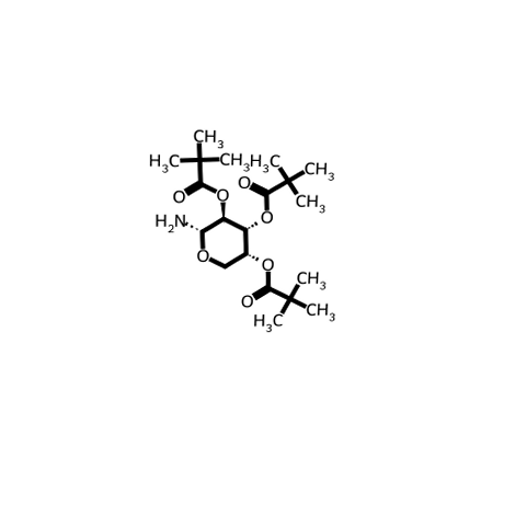 CC(C)(C)C(=O)O[C@H]1[C@H](OC(=O)C(C)(C)C)[C@H](OC(=O)C(C)(C)C)CO[C@@H]1N